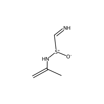 C=C(C)N[S+]([O-])C=N